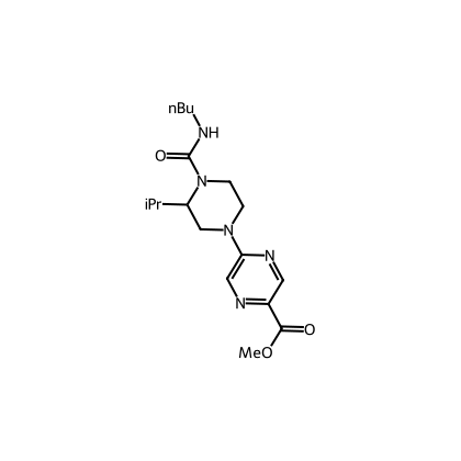 CCCCNC(=O)N1CCN(c2cnc(C(=O)OC)cn2)CC1C(C)C